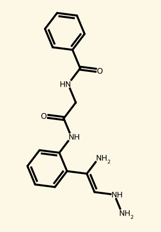 NN/C=C(\N)c1ccccc1NC(=O)CNC(=O)c1ccccc1